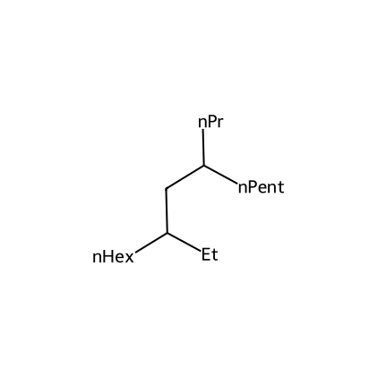 CCCCCCC(CC)CC(CCC)CCCCC